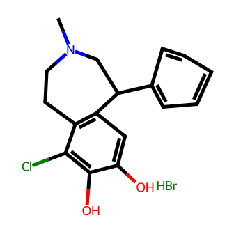 Br.CN1CCc2c(cc(O)c(O)c2Cl)C(c2ccccc2)C1